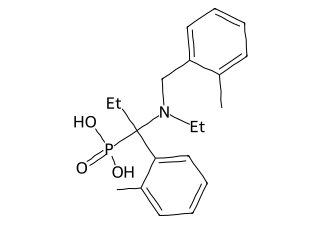 CCN(Cc1ccccc1C)C(CC)(c1ccccc1C)P(=O)(O)O